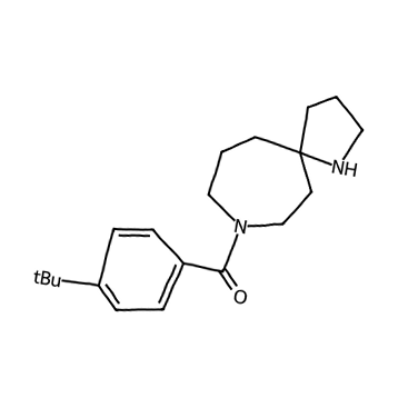 CC(C)(C)c1ccc(C(=O)N2CCCC3(CCCN3)CC2)cc1